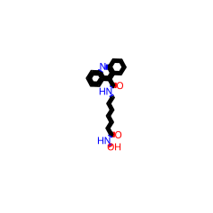 O=C(CCCCCCNC(=O)c1c2c(nc3ccccc13)CCCC2)NO